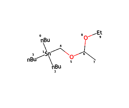 CCC[CH2][Sn]([CH2]CCC)([CH2]CCC)[CH2]OC(C)OCC